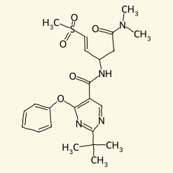 CN(C)C(=O)CC(/C=C/S(C)(=O)=O)NC(=O)c1cnc(C(C)(C)C)nc1Oc1ccccc1